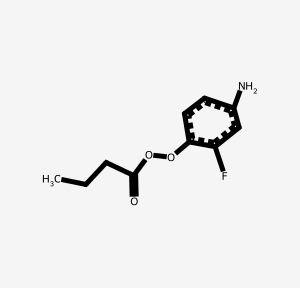 CCCC(=O)OOc1ccc(N)cc1F